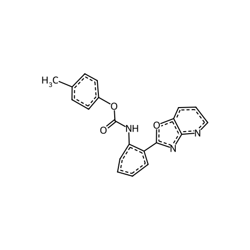 Cc1ccc(OC(=O)Nc2ccccc2-c2nc3ncccc3o2)cc1